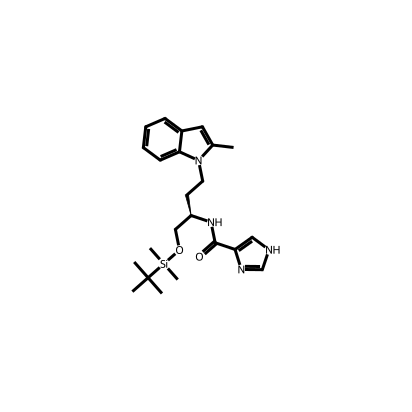 Cc1cc2ccccc2n1CC[C@H](CO[Si](C)(C)C(C)(C)C)NC(=O)c1c[nH]cn1